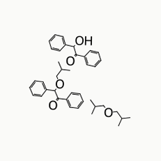 CC(C)COC(C(=O)c1ccccc1)c1ccccc1.CC(C)COCC(C)C.O=C(c1ccccc1)C(O)c1ccccc1